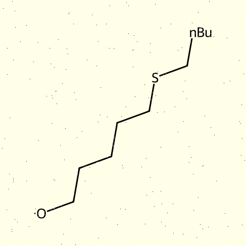 CCCCCSCCCCC[O]